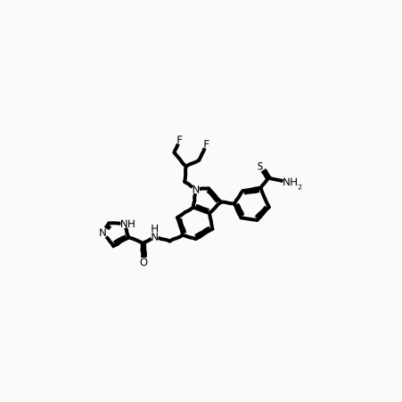 NC(=S)c1cccc(-c2cn(CC(CF)CF)c3cc(CNC(=O)c4cnc[nH]4)ccc23)c1